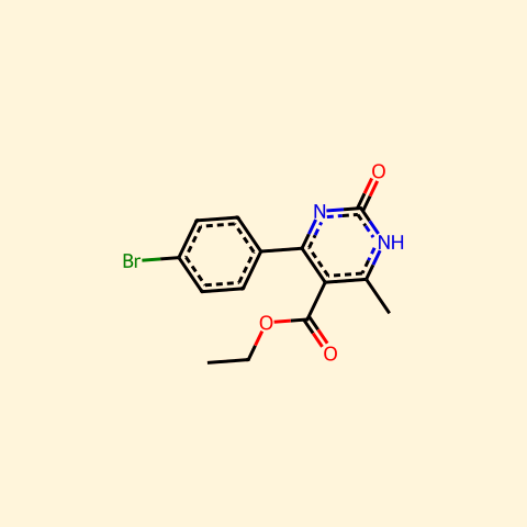 CCOC(=O)c1c(-c2ccc(Br)cc2)nc(=O)[nH]c1C